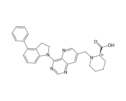 O=C(O)[C@H]1CCCCN1Cc1cnc2c(N3CCc4c(-c5ccccc5)cccc43)ncnc2c1